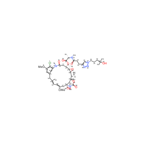 COc1cc2cc(c1Cl)N(C)C(=O)C[C@H](OC(=O)[C@H](C)N(C)C(=O)CCc1cn(CCC[Si](C)(C)O)nn1)[C@@]1(C)O[C@H]1[C@H](C)[C@@H]1C[C@](O)([C@H](OC)/C=C/C=C(\C)C2)N(C)C(=O)O1